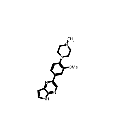 COc1cc(-c2cnc3[nH]ccc3n2)ccc1N1CCN(C)CC1